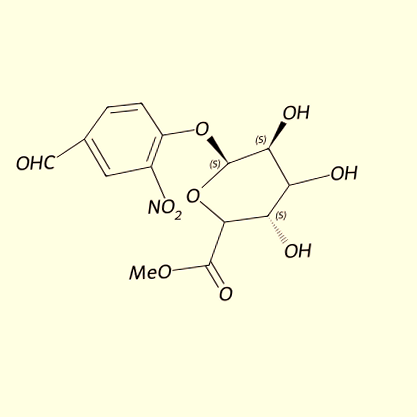 COC(=O)C1O[C@@H](Oc2ccc(C=O)cc2[N+](=O)[O-])[C@@H](O)C(O)[C@@H]1O